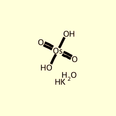 O.[KH].[O]=[Os](=[O])([OH])[OH]